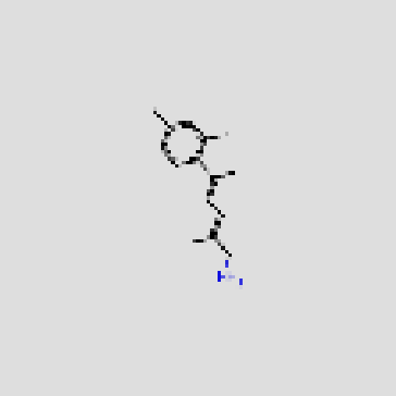 C/C(=C\C=C(/C)c1ccc(C)cc1C)CN